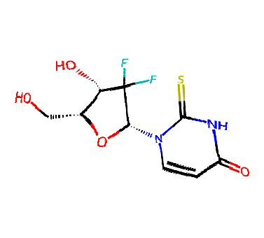 O=c1ccn([C@@H]2O[C@H](CO)[C@H](O)C2(F)F)c(=S)[nH]1